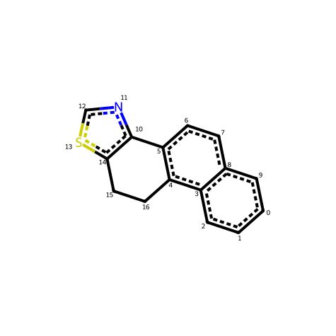 c1ccc2c3c(ccc2c1)-c1ncsc1CC3